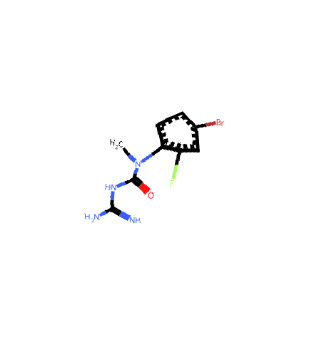 CN(C(=O)NC(=N)N)c1ccc(Br)cc1F